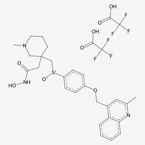 Cc1cc(COc2ccc([S+]([O-])CC3(CC(=O)NO)CCCN(C)C3)cc2)c2ccccc2n1.O=C(O)C(F)(F)F.O=C(O)C(F)(F)F